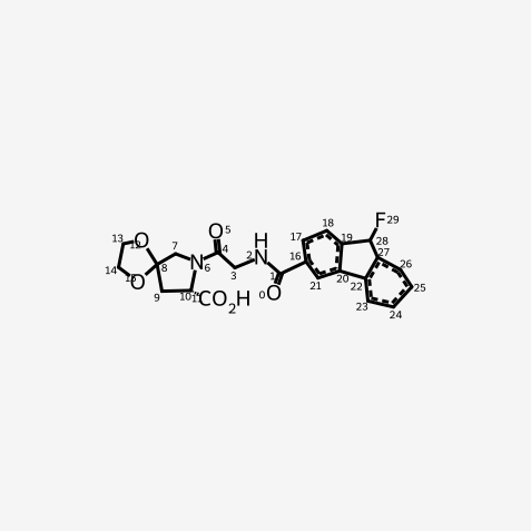 O=C(NCC(=O)N1CC2(C[C@H]1C(=O)O)OCCO2)c1ccc2c(c1)-c1ccccc1C2F